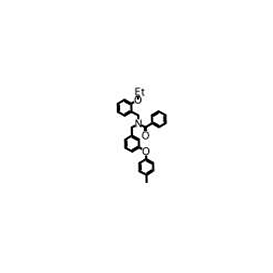 CCOc1ccccc1CN(Cc1cccc(Oc2ccc(C)cc2)c1)C(=O)c1ccccc1